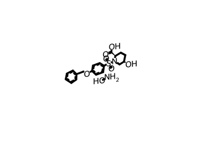 NO.O=C(O)[C@H]1CC[C@@H](O)CN1S(=O)(=O)c1ccc(OCc2ccccc2)cc1